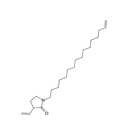 C=CCCCCCCCCCCCCCCN1CCC(C=C)C1=O